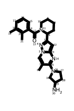 Cc1cn2nc(C3CCCCN3C(=O)c3cccc(C)c3C)cc2nc1N1CCC(N)C1